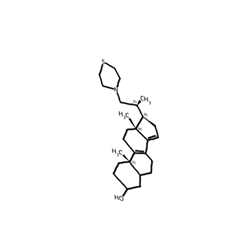 C[C@H](CN1CCSCC1)[C@H]1CC=C2C3=C(CC[C@@]21C)[C@@]1(C)CCC(O)CC1CC3